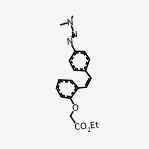 CCOC(=O)COc1ccccc1/C=C\c1ccc(/N=N/N(C)C)cc1